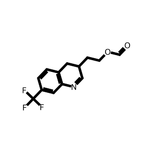 O=COCCC1C=Nc2cc(C(F)(F)F)ccc2C1